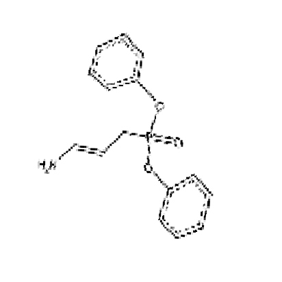 NC=CCP(=O)(Oc1ccccc1)Oc1ccccc1